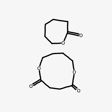 O=C1CCC(=O)OCCCCO1.O=C1CCCCCO1